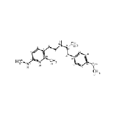 CNc1ccc(CCN[C@H](C)Cc2ccc(OC)cc2)c(C)n1